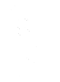 C=CCC(CC)(CC)CCOc1cc2nnc(NS(=O)(=O)C3CC3)n2cc1C1CC1